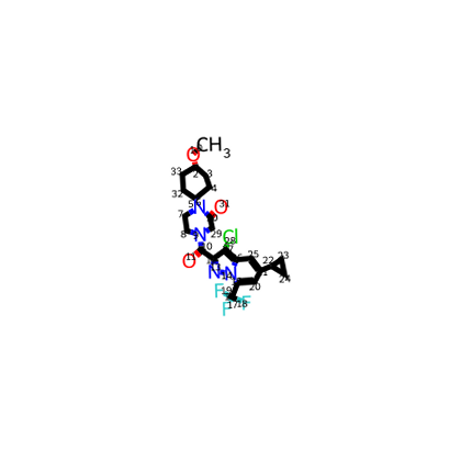 COC1CCC(N2CCN(C(=O)c3nn4c(C(F)(F)F)cc(C5CC5)cc4c3Cl)CC2=O)CC1